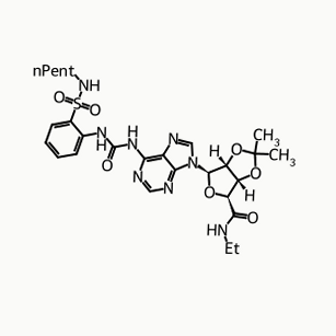 CCCCCNS(=O)(=O)c1ccccc1NC(=O)Nc1ncnc2c1ncn2[C@@H]1O[C@H](C(=O)NCC)[C@H]2OC(C)(C)O[C@H]21